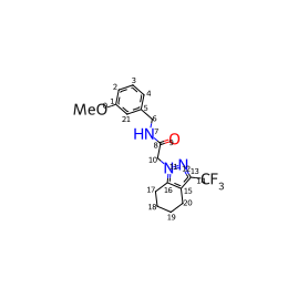 COc1cccc(CNC(=O)Cn2nc(C(F)(F)F)c3c2CCCC3)c1